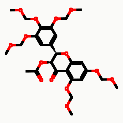 COCOc1cc(OCOC)c2c(c1)O[C@@H](c1cc(OCOC)c(OCOC)c(OCOC)c1)[C@H](OC(C)=O)C2=O